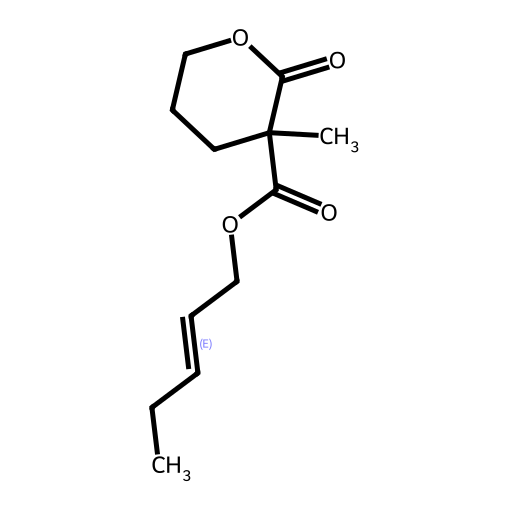 CC/C=C/COC(=O)C1(C)CCCOC1=O